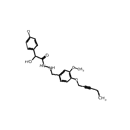 CCC#CCOc1ccc(CNNC(=O)C(O)c2ccc(Cl)cc2)cc1OC